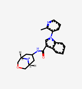 Cc1ncccc1-n1cc(C(=O)NC2C[C@H]3COC[C@@H](C2)N3C)c2ccccc21